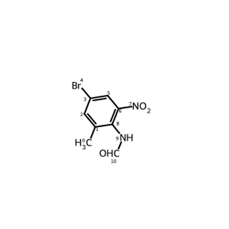 Cc1cc(Br)cc([N+](=O)[O-])c1NC=O